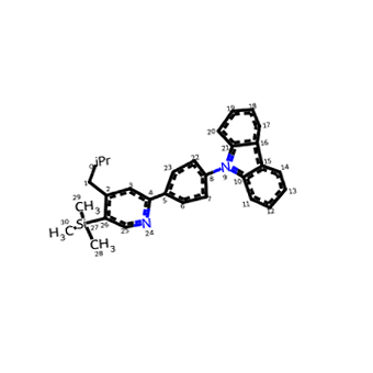 CC(C)Cc1cc(-c2ccc(-n3c4ccccc4c4ccccc43)cc2)ncc1[Si](C)(C)C